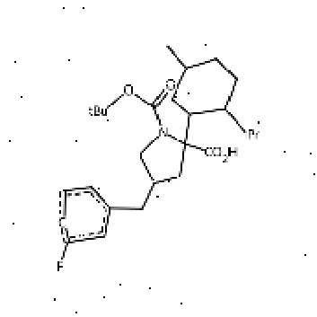 CC1CCC(C(C)C)C(C2(C(=O)O)CC(Cc3cccc(F)c3)CN2C(=O)OC(C)(C)C)C1